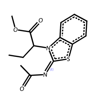 CCC(C(=O)OC)n1/c(=N\C(C)=O)sc2ccccc21